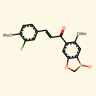 COc1ccc(/C=C/C(=O)c2cc3c(cc2OC)[S+]([O-])CO3)cc1F